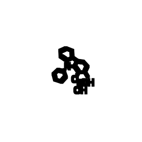 Cc1ccc2c3ccccc3n(-c3ccccc3)c2c1OB(O)O